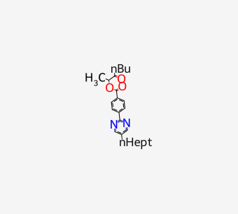 CCCCCCCc1cnc(-c2ccc(C(=O)OC(C)C(=O)CCCC)cc2)nc1